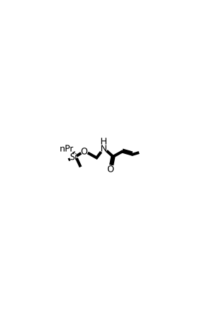 CC=CC(=O)NCO[Si](C)(C)CCC